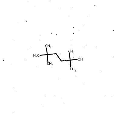 CC(C)(C)CCC(C)(C)O